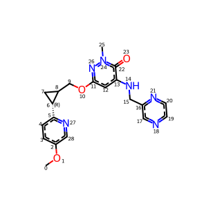 COc1ccc([C@@H]2CC2COc2cc(NCc3cnccn3)c(=O)n(C)n2)nc1